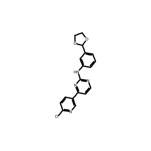 Clc1ccc(-c2ccnc(Nc3cccc(C4OCCO4)c3)n2)cn1